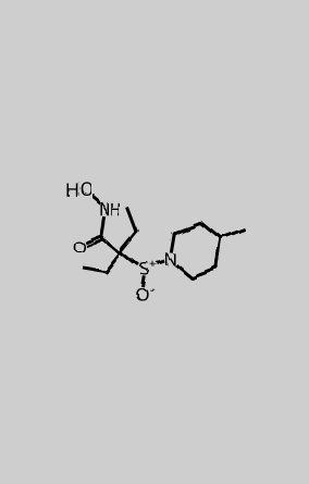 CCC(CC)(C(=O)NO)[S+]([O-])N1CCC(C)CC1